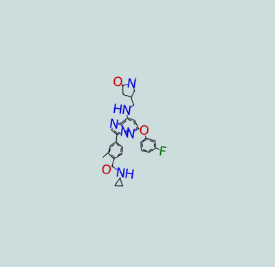 Cc1cc(-c2cnc3c(NCC4CC(=O)N(C)C4)cc(Oc4cccc(F)c4)nn23)ccc1C(=O)NC1CC1